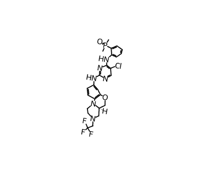 CP(C)(=O)c1ccccc1Nc1nc(Nc2ccc3c(c2)OC[C@H]2CN(CC(F)(F)F)CCN32)ncc1Cl